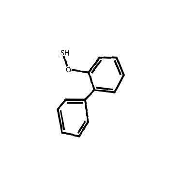 SOc1ccccc1-c1ccccc1